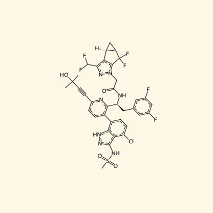 CC(C)(O)C#Cc1ccc(-c2ccc(Cl)c3c(NS(C)(=O)=O)n[nH]c23)c([C@H](Cc2cc(F)cc(F)c2)NC(=O)Cn2nc(C(F)F)c3c2C(F)(F)C2C[C@H]32)n1